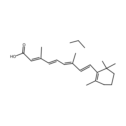 CC1=C(/C=C/C(C)=C/C=C/C(C)=C/C(=O)O)C(C)(C)CCC1.CCC